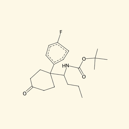 CCCC(NC(=O)OC(C)(C)C)C1(c2ccc(F)cc2)CCC(=O)CC1